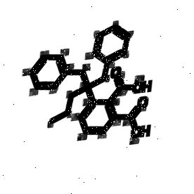 CCCC(Cc1ccccc1)(Cc1ccccc1)c1cccc(C(=O)O)c1C(=O)O